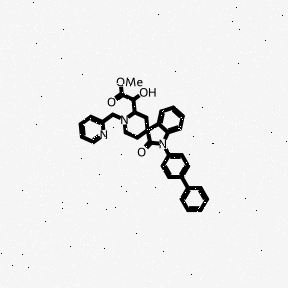 COC(=O)C(O)C1CC2(CCN1Cc1ccccn1)C(=O)N(c1ccc(-c3ccccc3)cc1)c1ccccc12